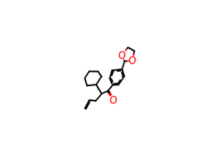 C=CCC(C(=O)c1ccc(C2OCCO2)cc1)C1CCCCC1